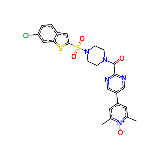 Cc1cc(-c2cnc(C(=O)N3CCN(S(=O)(=O)c4cc5ccc(Cl)cc5s4)CC3)nc2)cc(C)[n+]1[O-]